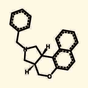 c1ccc(CN2C[C@@H]3COc4ccc5ccccc5c4[C@H]3C2)cc1